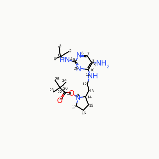 CC(C)(C)Nc1ncc(N)c(NCCC2CCCN2OC(=O)C(C)(C)C)n1